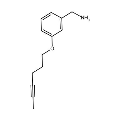 CC#CCCCOc1cccc(CN)c1